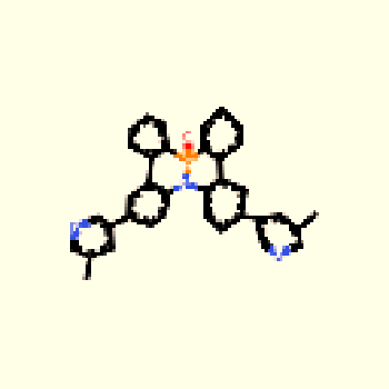 Cc1cncc(-c2ccc3c(c2)-c2ccccc2P2(=O)c4ccccc4-c4cc(-c5cncc(C)c5)ccc4N32)c1